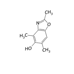 Cc1nc2c(C)c(O)c(C)cc2o1